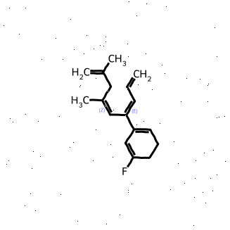 C=C/C=C(\C=C(\C)CC(=C)C)C1=CCCC(F)=C1